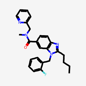 CCCCc1nc2ccc(C(=O)N(C)Cc3ccccn3)cc2n1Cc1ccccc1F